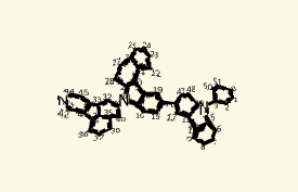 c1ccc(-n2c3ccccc3c3cc(-c4ccc5c(c4)c4c6ccccc6ccc4n5-c4cc5c6c(cccc6c4)-c4cnccc4-5)ccc32)cc1